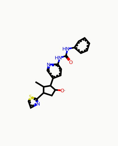 CC1C(c2nccs2)CC([O])C1c1ccc(NC(=O)Nc2ccccc2)nc1